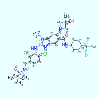 Cn1c(Nc2c(Cl)ccc(CNC(=O)C(C)(C)C)c2Cl)nc2cc(C(=O)N[C@H]3CC[C@H](C(F)(F)F)CC3)c(N3CC(C)(O)C3)cc21